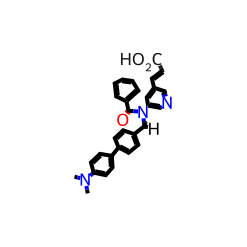 [2H]C(c1ccc(-c2ccc(N(C)C)cc2)cc1)N(C(=O)c1ccccc1)c1cncc(/C=C/C(=O)O)c1